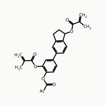 C=C(C)C(=O)Oc1cc(-c2ccc3c(c2)CCC3OC(=O)C(=C)C)ccc1OC(=O)C(C)=O